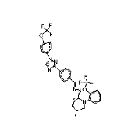 CC1CS/C(=N\N=C\c2ccc(-c3ncn(-c4ccc(OC(F)(F)F)cc4)n3)cc2)N(c2ccccc2OC(F)(F)F)C1